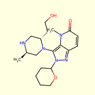 C[C@@H]1CN(c2c3c(ccc(=O)n3C)nn2C2CCCCO2)[C@@H](CCO)CN1